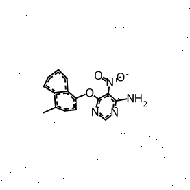 Cc1ccc(Oc2ncnc(N)c2[N+](=O)[O-])c2ccccc12